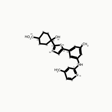 Cc1cc(Nc2cc(C)ccn2)cc(-c2cnc(C3(O)CCC(C(=O)O)CC3)s2)c1